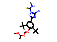 CNC(=S)n1nc(-c2cc(C(C)(C)C)c(OCOC(C)OC)c(C(C)(C)C)c2)nc1N